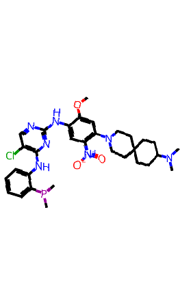 COc1cc(N2CCC3(CCC(N(C)C)CC3)CC2)c([N+](=O)[O-])cc1Nc1ncc(Cl)c(Nc2ccccc2P(C)C)n1